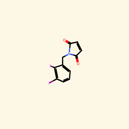 O=C1C=CC(=O)N1Cc1cccc(I)c1I